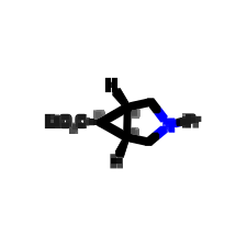 CCOC(=O)[C@@H]1[C@@H]2CN(C(C)C)C[C@@H]21